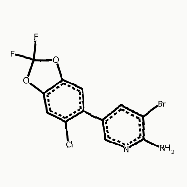 Nc1ncc(-c2cc3c(cc2Cl)OC(F)(F)O3)cc1Br